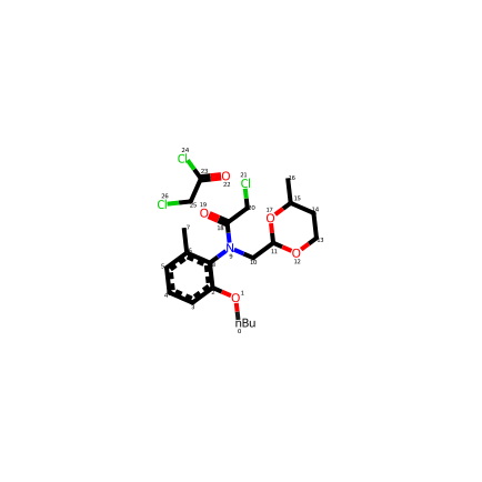 CCCCOc1cccc(C)c1N(CC1OCCC(C)O1)C(=O)CCl.O=C(Cl)CCl